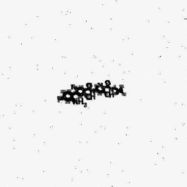 CC1(CNC(=O)c2ncc(NC(=O)c3cc(F)c(-c4ccc(F)cc4N)cc3Cl)cc2Cl)CC1